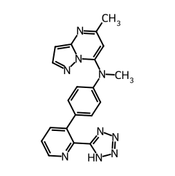 Cc1cc(N(C)c2ccc(-c3cccnc3-c3nnn[nH]3)cc2)n2nccc2n1